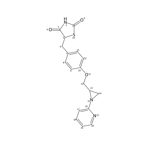 O=C1NC(=O)C(Cc2ccc(OCC3CN3c3ccccn3)cc2)S1